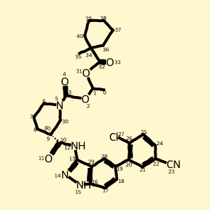 CC(OC(=O)N1CCC[C@@H](C(=O)Nc2n[nH]c3ccc(-c4cc(C#N)ccc4Cl)cc23)C1)OC(=O)C1(C)CCCCC1